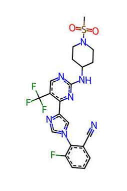 CS(=O)(=O)N1CCC(Nc2ncc(C(F)(F)F)c(-c3cn(-c4c(F)cccc4C#N)cn3)n2)CC1